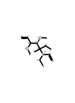 C=CC(OC)[C@@H](OC)C(C)(CC)N(C=C)CC